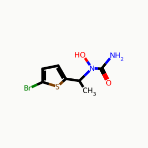 CC(c1ccc(Br)s1)N(O)C(N)=O